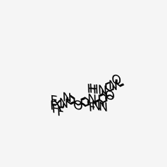 C=CC(=O)N1CCC(Nc2cc3c(Nc4ccc(Oc5ccnc(N6CC(F)(F)C(F)(F)C6)c5)cc4F)ncnc3cc2OC)CC1